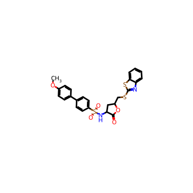 COc1ccc(-c2ccc(S(=O)(=O)NC3CC(CSc4nc5ccccc5s4)OC3=O)cc2)cc1